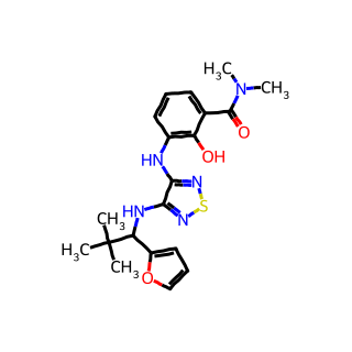 CN(C)C(=O)c1cccc(Nc2nsnc2NC(c2ccco2)C(C)(C)C)c1O